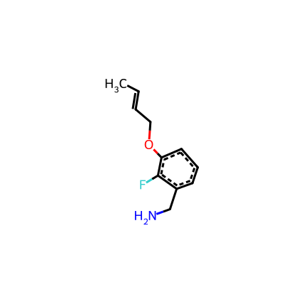 CC=CCOc1cccc(CN)c1F